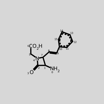 NC1C(=O)N(CC(=O)O)C1C=Cc1ccccc1